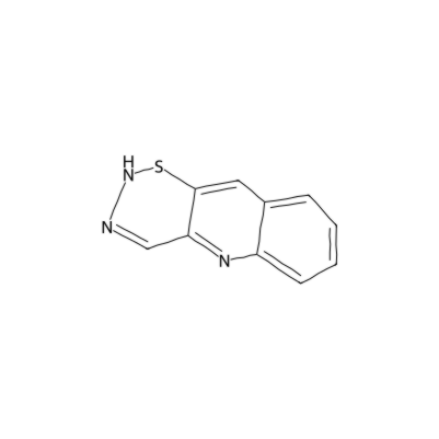 C1=NNSc2cc3ccccc3nc21